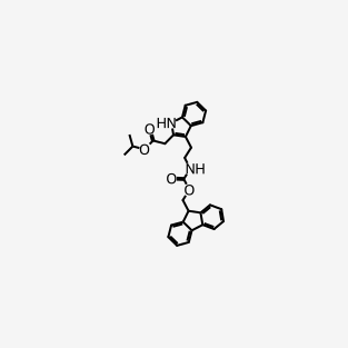 CC(C)OC(=O)Cc1[nH]c2ccccc2c1CCNC(=O)OCC1c2ccccc2-c2ccccc21